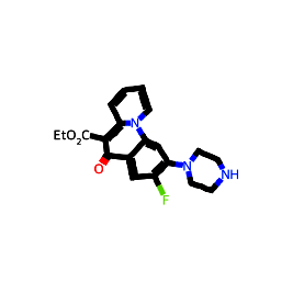 CCOC(=O)c1c(=O)c2cc(F)c(N3CCNCC3)cc2n2ccccc12